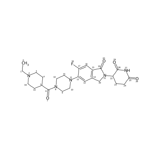 CCN1CCC(C(=O)N2CCN(c3cc4c(cc3F)C(=O)N(C3CCC(=O)NC3=O)C4)CC2)CC1